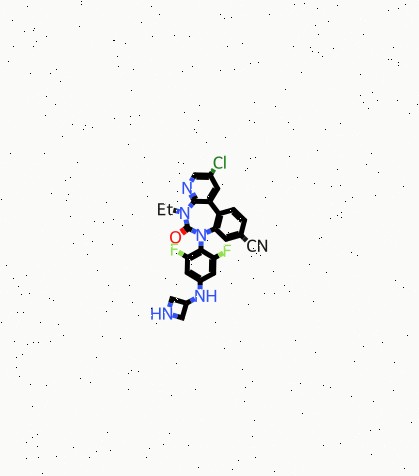 CCN1C(=O)N(c2c(F)cc(NC3CNC3)cc2F)c2cc(C#N)ccc2-c2cc(Cl)cnc21